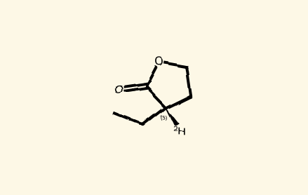 [2H][C@]1(CC)CCOC1=O